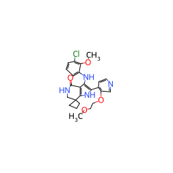 COCCOc1cnccc1-c1[nH]c2c(c1Nc1cccc(Cl)c1OC)C(=O)NCC21CCC1